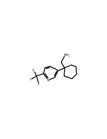 NCC1(c2ccc(C(F)(F)F)nc2)CCCCC1